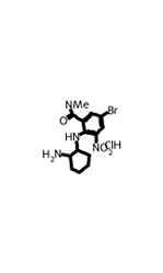 CNC(=O)c1cc(Br)cc([N+](=O)[O-])c1NC1CCCCC1N.Cl